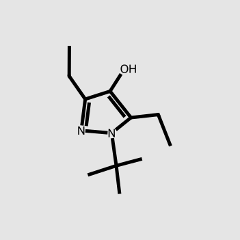 CCc1nn(C(C)(C)C)c(CC)c1O